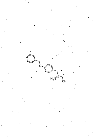 N[C@H](CO)Cc1ccc(OCc2ccccc2)cc1